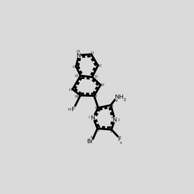 Nc1nc(F)c(Br)nc1-c1cc2ccncc2cc1F